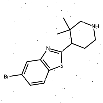 CC1(C)CNCCC1c1nc2cc(Br)ccc2s1